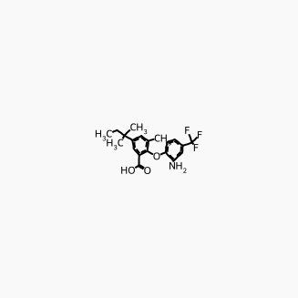 CCC(C)(C)c1cc(C)c(Oc2ccc(C(F)(F)F)cc2N)c(C(=O)O)c1